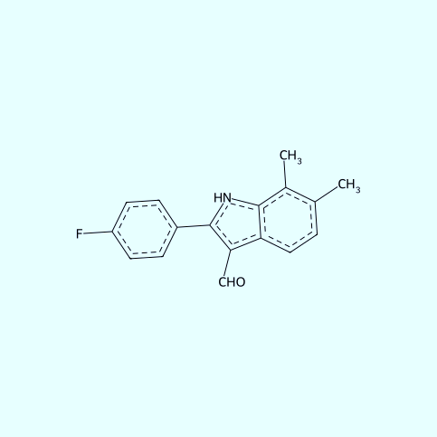 Cc1ccc2c(C=O)c(-c3ccc(F)cc3)[nH]c2c1C